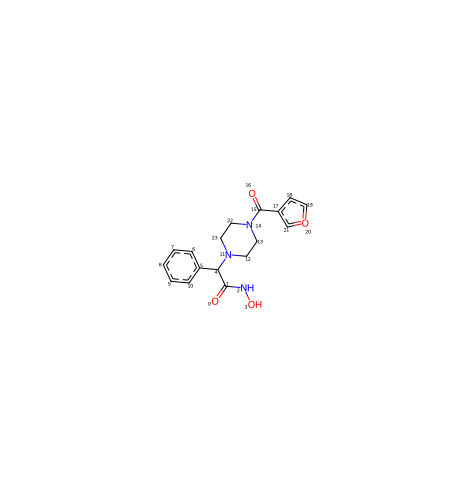 O=C(NO)C(c1ccccc1)N1CCN(C(=O)c2ccoc2)CC1